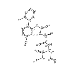 Cc1ccccc1-c1ccc(Cl)cc1CC(=O)O[C@@H](I)C(=O)NC(CC=O)C(=O)CF